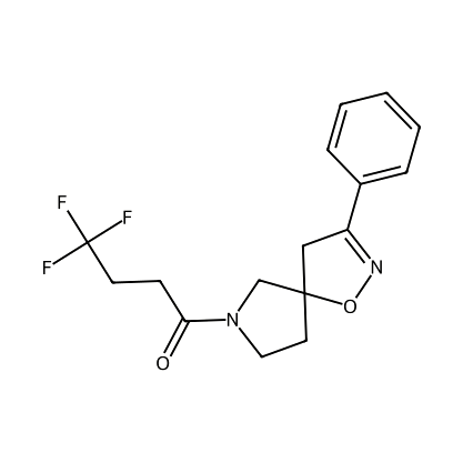 O=C(CCC(F)(F)F)N1CCC2(CC(c3ccccc3)=NO2)C1